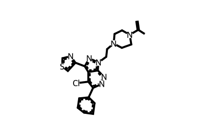 C=C(C)N1CCN(CCn2nc(-c3cscn3)c3c(Cl)c(-c4ccccc4)nnc32)CC1